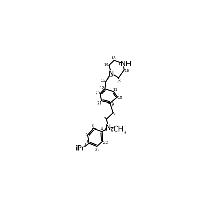 CC(C)c1ccc(N(C)CCc2ccc(CN3CCNCC3)cc2)cc1